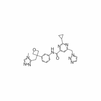 Cn1cnnc1CC1(c2cccc(NC(=O)c3cc(Cn4ccnn4)nc(C4CC4)n3)c2)COC1